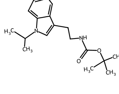 CC(C)n1cc(CCNC(=O)OC(C)(C)C)c2ccccc21